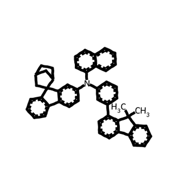 CC1(C)c2ccccc2-c2cccc(-c3cccc(N(c4ccc5c(c4)C4(CC6CCC4C6)c4ccccc4-5)c4cccc5ccccc45)c3)c21